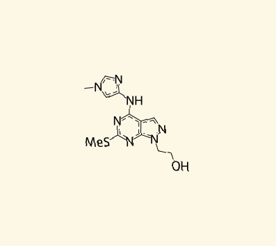 CSc1nc(Nc2cn(C)cn2)c2cnn(CCO)c2n1